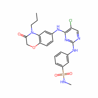 CCCN1C(=O)COc2ccc(Nc3nc(Nc4cccc(S(=O)(=O)NC)c4)ncc3Cl)cc21